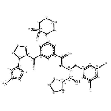 Cc1csc([C@H]2CCCN2C(=O)c2cc(C(=O)N[C@@H](Cc3cc(F)cc(F)c3)[C@@H](O)[C@H]3CCCN3)cc(C3CNCCS3(=O)=O)c2)n1